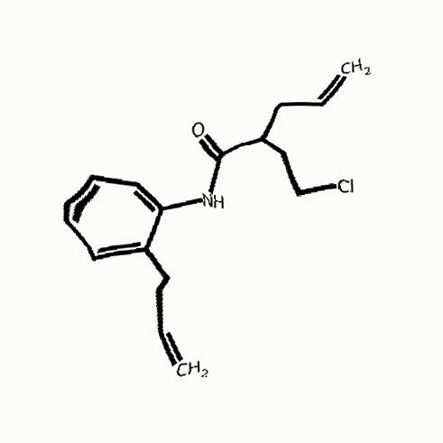 C=CCc1ccccc1NC(=O)C(CCl)CC=C